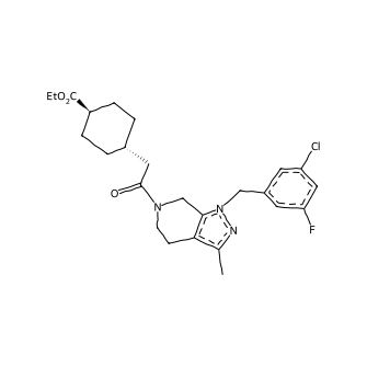 CCOC(=O)[C@H]1CC[C@H](CC(=O)N2CCc3c(C)nn(Cc4cc(F)cc(Cl)c4)c3C2)CC1